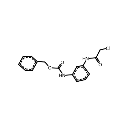 O=C(CCl)Nc1cccc(NC(=O)OCc2ccccc2)c1